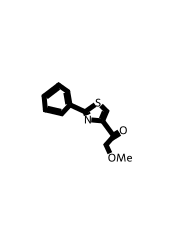 COCC(=O)c1csc(-c2ccccc2)n1